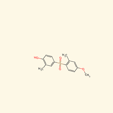 COc1ccc(S(=O)(=O)c2ccc(O)c(C)c2)c(C)c1